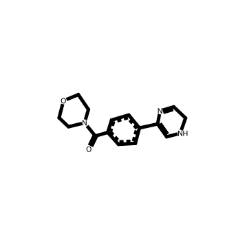 O=C(c1ccc(C2=CNCC=N2)cc1)N1CCOCC1